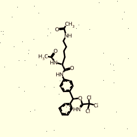 CC(=O)NCCCCC(NC(C)=O)C(=O)Nc1ccc(C(OC(=N)C(Cl)(Cl)Cl)c2ccccc2)cc1